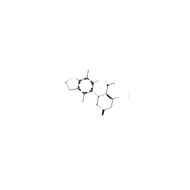 CCC(=O)C1=C(O)CC(=O)CC1c1c(C)c(C)c2c(c1C)CCO2